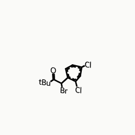 CC(C)(C)C(=O)C(Br)c1ccc(Cl)cc1Cl